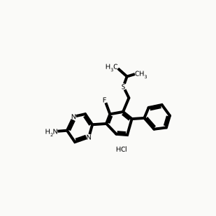 CC(C)SCc1c(-c2ccccc2)ccc(-c2cnc(N)cn2)c1F.Cl